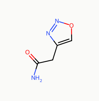 NC(=O)Cc1conn1